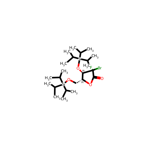 CC(C)[Si](OC[C@H]1OC(=O)C(F)(Br)[C@@H]1O[Si](C(C)C)(C(C)C)C(C)C)(C(C)C)C(C)C